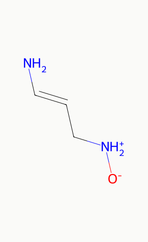 NC=CC[NH2+][O-]